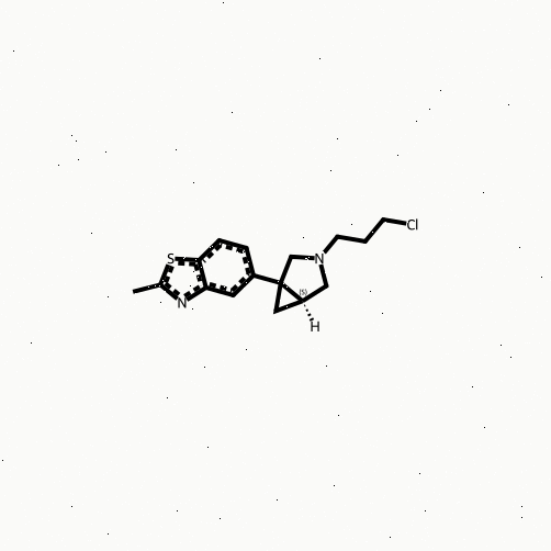 Cc1nc2cc(C34C[C@@H]3CN(CCCCl)C4)ccc2s1